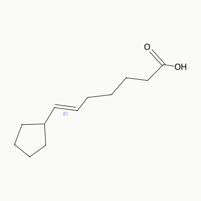 O=C(O)CCCC/C=C/C1CCCC1